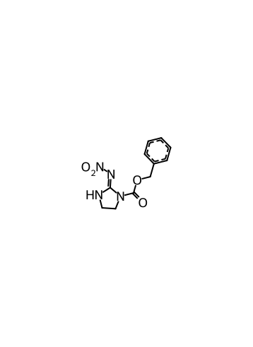 O=C(OCc1ccccc1)N1CCN/C1=N\[N+](=O)[O-]